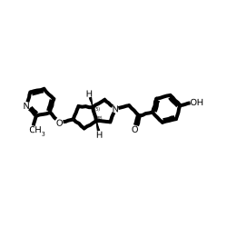 Cc1ncccc1OC1C[C@@H]2CN(CC(=O)c3ccc(O)cc3)C[C@@H]2C1